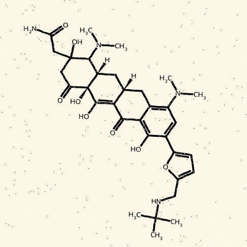 CN(C)c1cc(-c2ccc(CNC(C)(C)C)o2)c(O)c2c1C[C@H]1C[C@H]3C(N(C)C)C(O)(CC(N)=O)CC(=O)[C@@]3(O)C(O)=C1C2=O